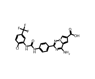 Nc1nc(-c2ccc(NC(=O)Nc3cc(C(F)(F)F)ccc3Cl)cc2)nn2cc(C(=O)O)cc12